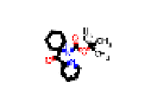 CC(C)(C)OC(=O)NC1(C(=O)c2ccccn2)CCCCC1